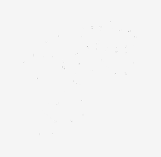 c1ccc(-c2ccccc2-c2cc(-c3cccc4c3sc3ccccc34)nc(-c3ccc4c(c3)-c3ccccc3C43c4ccccc4Sc4ccccc43)n2)cc1